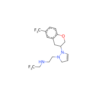 FC(F)(F)CNCCN1CC=CN1C1COc2ccc(C(F)(F)F)cc2C1